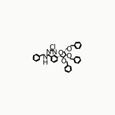 Clc1nc(NCc2ccccc2)c2cccc([C@@H]3O[C@H](COCc4ccccc4)[C@@H](OCc4ccccc4)[C@H]3OCc3ccccc3)c2n1